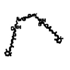 CC1=C(/C=C/C(C)=C/C=C/C(C)=C/OCCC(=O)NCCCN(C)CCOCCOCCN(C)CCCNC(=O)CCO/C=C(C)/C=C/C=C(C)/C=C/C2=C(C)CCCC2(C)C)C(C)(C)CCC1